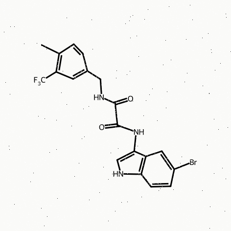 Cc1ccc(CNC(=O)C(=O)Nc2c[nH]c3ccc(Br)cc23)cc1C(F)(F)F